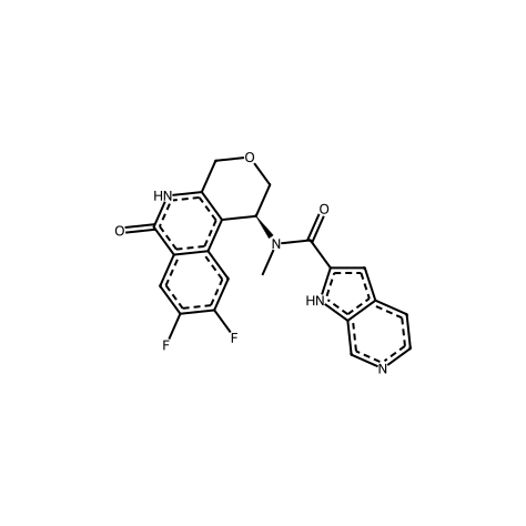 CN(C(=O)c1cc2ccncc2[nH]1)[C@@H]1COCc2[nH]c(=O)c3cc(F)c(F)cc3c21